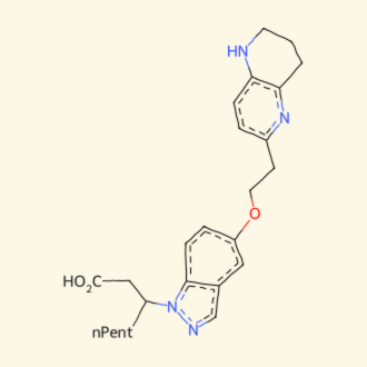 CCCCCC(CC(=O)O)n1ncc2cc(OCCc3ccc4c(n3)CCCN4)ccc21